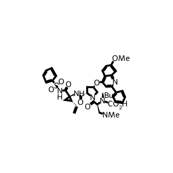 C=C[C@@H]1C[C@]1(NC(=O)[C@@H]1C[C@@H](Oc2cc(-c3ccccc3)nc3cc(OC)ccc23)CN1C(=O)[C@H](CNC)N(C(=O)O)C(C)(C)C)C(=O)NS(=O)(=O)c1ccccc1